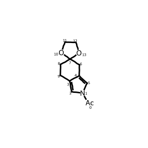 CC(=O)n1cc2c(c1)CC1(CC2)OCCO1